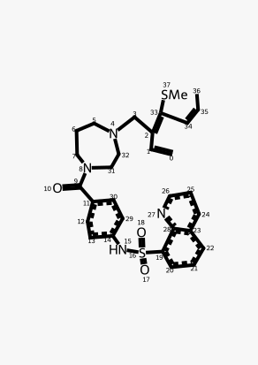 C=C/C(CN1CCCN(C(=O)c2ccc(NS(=O)(=O)c3cccc4cccnc34)cc2)CC1)=C(\C=C/C)SC